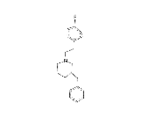 Fc1ccc(CCN2CCCC(Cc3ccccc3)C2)cc1